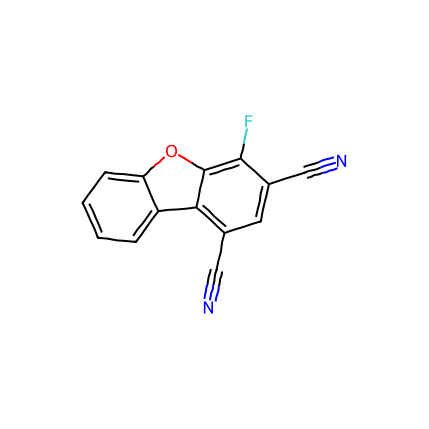 N#Cc1cc(C#N)c2c(oc3ccccc32)c1F